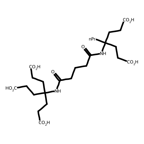 CCCC(CCC(=O)O)(CCC(=O)O)NC(=O)CCCC(=O)NC(CCC(=O)O)(CCC(=O)O)CCC(=O)O